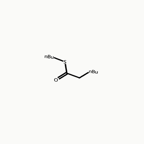 CCCCCC(=O)SCCCC